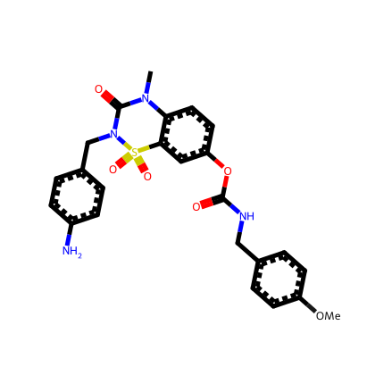 COc1ccc(CNC(=O)Oc2ccc3c(c2)S(=O)(=O)N(Cc2ccc(N)cc2)C(=O)N3C)cc1